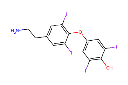 NCCc1cc(I)c(Oc2cc(I)c(O)c(I)c2)c(I)c1